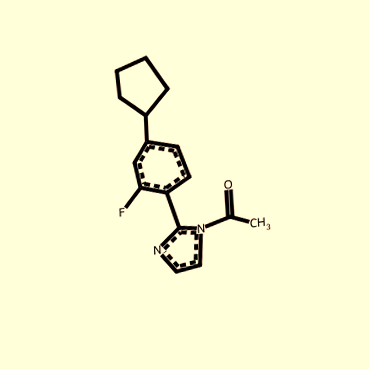 CC(=O)n1ccnc1-c1ccc(C2CCCC2)cc1F